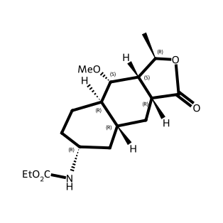 CCOC(=O)N[C@@H]1CC[C@@H]2[C@@H](C1)C[C@H]1C(=O)O[C@H](C)[C@H]1[C@H]2OC